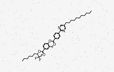 CCCCCCCCCCCc1cnc(-c2ccc(C(=O)Oc3ccc(C(=O)OC(CCCCCC)C(F)(F)F)cc3F)cc2)nc1